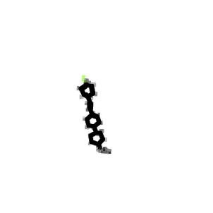 CCCCC1CCC(C2CC=C(C#Cc3ccc(F)cc3)CC2)CC1